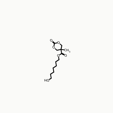 CC1(C(=O)OCCCCCCCO)COC(=O)OC1